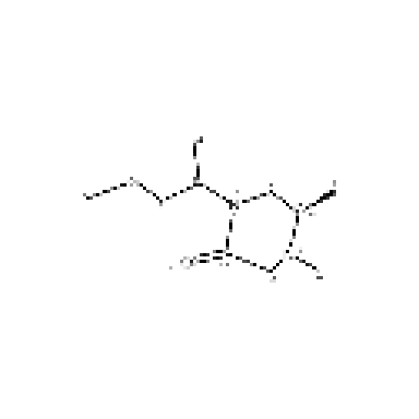 CSCC(C)N1C[C@@H](C)N(C)CC1=O